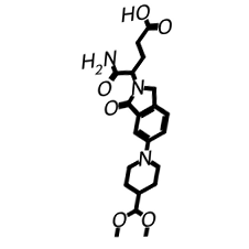 COC(OC)C1CCN(c2ccc3c(c2)C(=O)N(C(CCC(=O)O)C(N)=O)C3)CC1